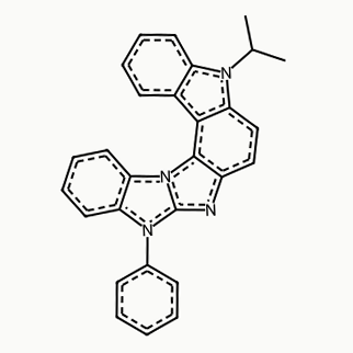 CC(C)n1c2ccccc2c2c1ccc1nc3n(-c4ccccc4)c4ccccc4n3c12